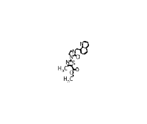 CCOC(=O)c1sc(N2CCN(Cc3cccc4cccnc34)C2=O)nc1C